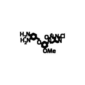 COc1cc(OCc2ccc(N)c(N)c2)cc(N2Cc3cnc(Cl)nc3N(C)C2=O)c1